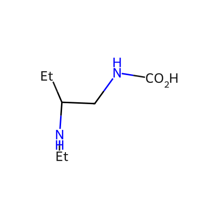 CCNC(CC)CNC(=O)O